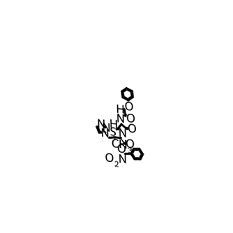 C[C@@]1(Cn2ccnn2)S[C@H]2[C@H](NC(=O)COc3ccccc3)C(=O)N2[C@H]1C(=O)OC(c1ccccc1)[N+](=O)[O-]